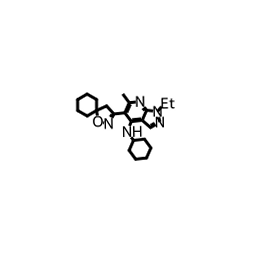 CCn1ncc2c(NC3CCCCC3)c(C3=NOC4(CCCCC4)C3)c(C)nc21